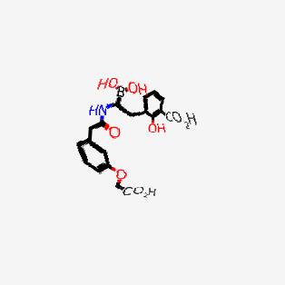 O=C(O)COc1cccc(CC(=O)NC(Cc2cccc(C(=O)O)c2O)B(O)O)c1